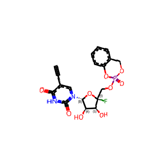 C#Cc1cn([C@@H]2O[C@](F)(COP3(=O)OCc4ccccc4O3)[C@@H](O)[C@H]2O)c(=O)[nH]c1=O